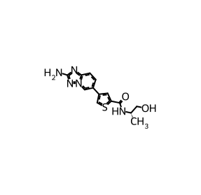 C[C@@H](CO)NC(=O)c1cc(-c2ccc3nc(N)nn3c2)cs1